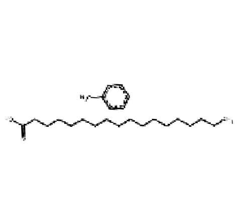 CCCCCCCCCCCCCCCCCC(=O)O.Cc1ccccc1